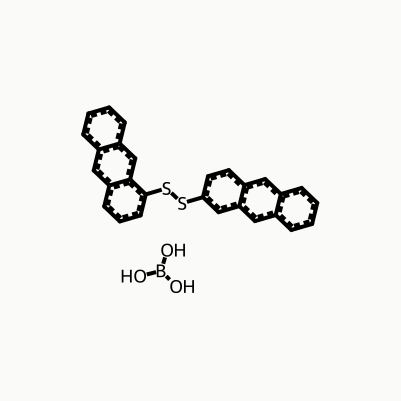 OB(O)O.c1ccc2cc3cc(SSc4cccc5cc6ccccc6cc45)ccc3cc2c1